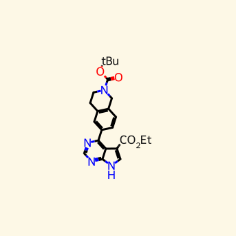 CCOC(=O)c1c[nH]c2ncnc(-c3ccc4c(c3)CCN(C(=O)OC(C)(C)C)C4)c12